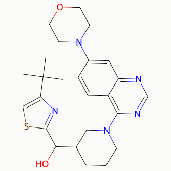 CC(C)(C)c1csc(C(O)C2CCCN(c3ncnc4cc(N5CCOCC5)ccc34)C2)n1